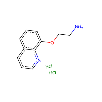 Cl.Cl.NCCOc1cccc2cccnc12